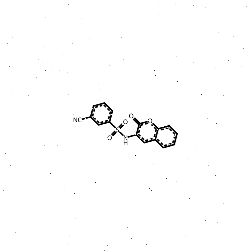 N#Cc1cccc(S(=O)(=O)Nc2cc3ccc[c]c3oc2=O)c1